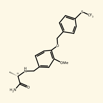 COc1cc(CN[C@@H](C)C(N)=O)ccc1OCc1ccc(SC(F)(F)F)cc1